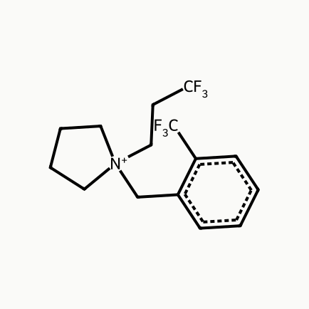 FC(F)(F)CC[N+]1(Cc2ccccc2C(F)(F)F)CCCC1